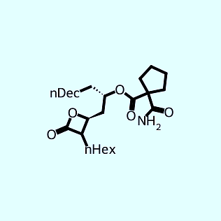 CCCCCCCCCCC[C@@H](C[C@@H]1OC(=O)C1CCCCCC)OC(=O)C1(C(N)=O)CCCC1